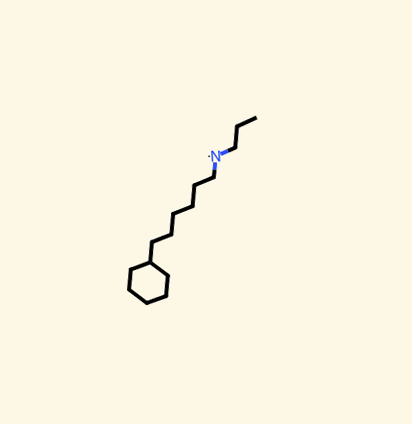 CCC[N]CCCCCCC1CCCCC1